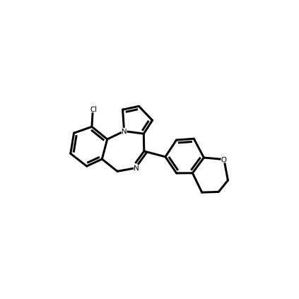 Clc1cccc2c1-n1cccc1C(c1ccc3c(c1)CCCO3)=NC2